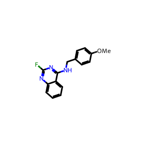 COc1ccc(CNc2nc(F)nc3ccccc23)cc1